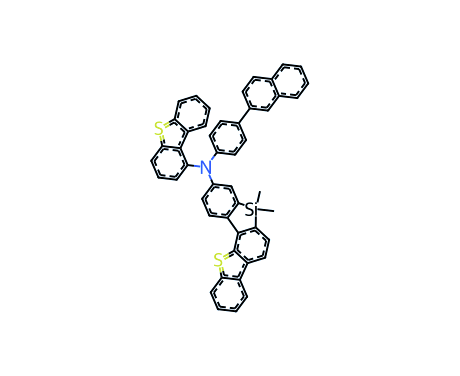 C[Si]1(C)c2cc(N(c3ccc(-c4ccc5ccccc5c4)cc3)c3cccc4sc5ccccc5c34)ccc2-c2c1ccc1c2sc2ccccc21